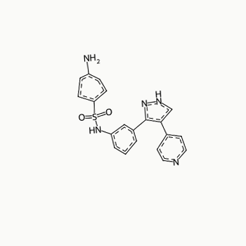 Nc1ccc(S(=O)(=O)Nc2cccc(-c3n[nH]cc3-c3ccncc3)c2)cc1